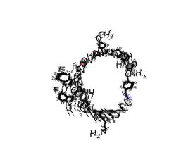 CC[C@@H]1NC(=O)[C@@H]2C[C@H](F)CN2C(=O)[C@H](Cc2c[nH]c3ccc(F)cc23)NC(=O)[C@H](Cc2c[nH]c3ccc(F)cc23)NC(=O)[C@@H](C)NC(=O)[C@H](CCCCN)NC(=O)CCC/C=C\c2ccc(cc2)C[C@@H](C(N)=O)NC(=O)[C@]2(C)CCCN2C(=O)[C@H](Cc2ccc(OC)cc2)NC1=O